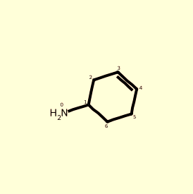 NC1CC=CCC1